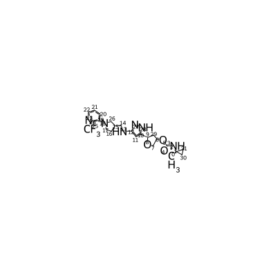 CC1(NC(=O)O[C@H]2CO[C@@H](c3cc(NC[C@H]4CCN(c5cccnc5C(F)(F)F)C4)n[nH]3)C2)CC1